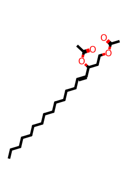 CCCCCCCCCCCCCC=CC(CCOC(C)=O)OC(C)=O